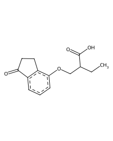 CCC(COc1cccc2c1CCC2=O)C(=O)O